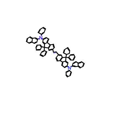 C1=CCC(C2(c3ccccc3)c3cc(/C=C/c4ccc5c(c4)C(c4ccccc4)(c4ccccc4)c4cc(N(c6ccccc6)c6ccc7ccccc7c6)ccc4-5)ccc3-c3ccc(N(c4ccccc4)c4ccc5ccccc5c4)cc32)C=C1